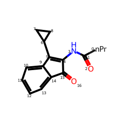 CCCC(=O)NC1=C(C2CC2)c2ccccc2C1=O